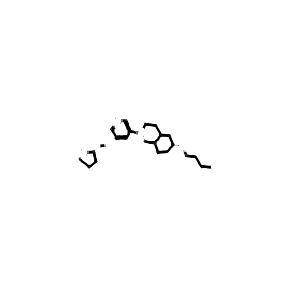 CCCCO[C@H]1CCC2CN(c3cncc(OC[C@@H]4CCCN4)c3)CCC2C1